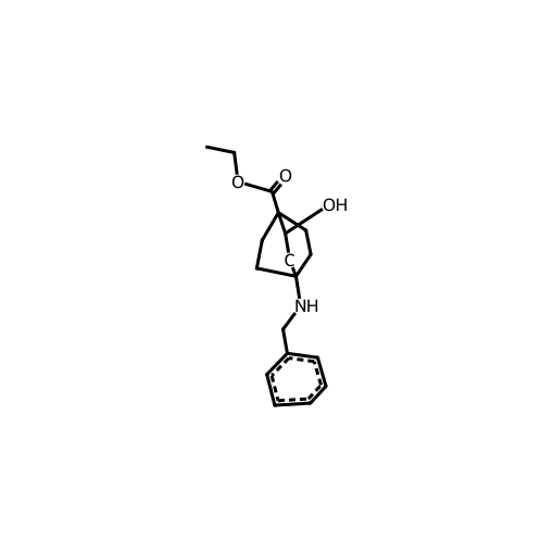 CCOC(=O)C12CCC(NCc3ccccc3)(CC1)CC2O